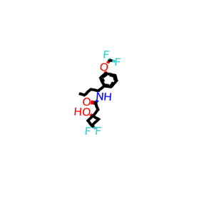 CCCC(NC(=O)CC1(O)CC(F)(F)C1)c1cccc(OC(F)F)c1